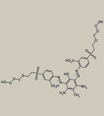 Cc1c(N)c(/N=N/c2ccc(S(=O)(=O)CCOSOOO)cc2S(=O)(=O)O)c(O)c(/N=N/c2ccc(S(=O)(=O)CCOSOOO)cc2S(=O)(=O)O)c1N